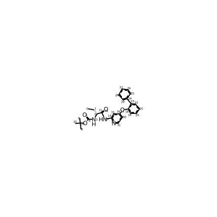 CC[C@@H](NC(=O)OC(C)(C)C)C(=O)Nc1cc(Oc2ccccc2-c2ccccc2)ccn1